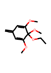 C=C1C=C(OC)C(OC)(OCC)C(OC)=C1